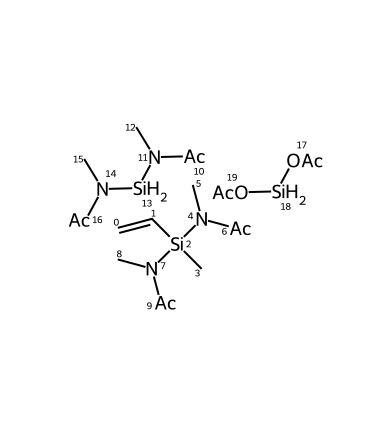 C=C[Si](C)(N(C)C(C)=O)N(C)C(C)=O.CC(=O)N(C)[SiH2]N(C)C(C)=O.CC(=O)O[SiH2]OC(C)=O